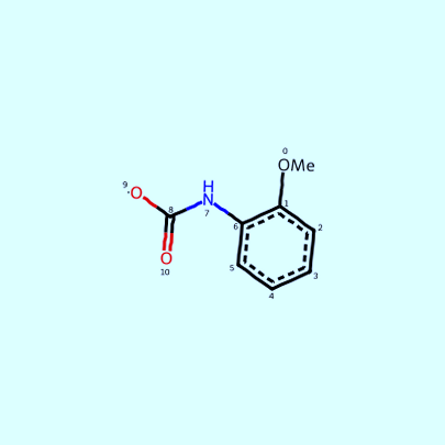 COc1ccccc1NC([O])=O